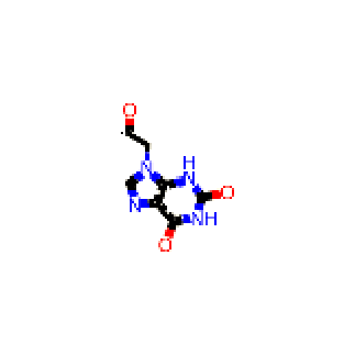 O=[C]Cn1cnc2c(=O)[nH]c(=O)[nH]c21